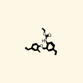 CCOC(=O)Nc1ccc(CC)cc1COc1ccc(CC)cc1C